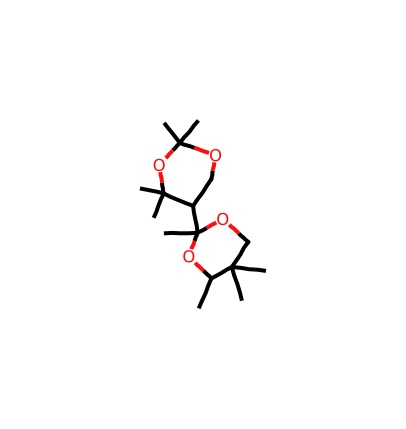 CC1OC(C)(C2COC(C)(C)OC2(C)C)OCC1(C)C